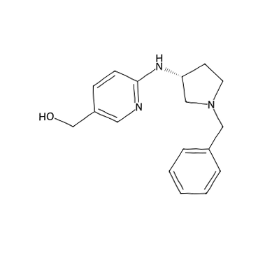 OCc1ccc(N[C@@H]2CCN(Cc3ccccc3)C2)nc1